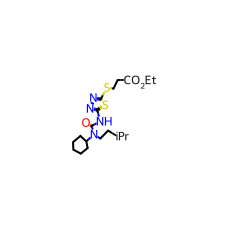 CCOC(=O)CCSc1nnc(NC(=O)N(CCC(C)C)C2CCCCC2)s1